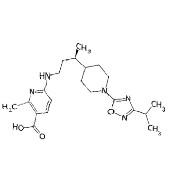 Cc1nc(NCC[C@@H](C)C2CCN(c3nc(C(C)C)no3)CC2)ccc1C(=O)O